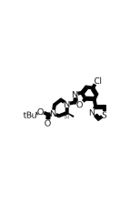 C[C@H]1CN(C(=O)OC(C)(C)C)CCN1c1nc2cc(Cl)cc(-c3cscn3)c2o1